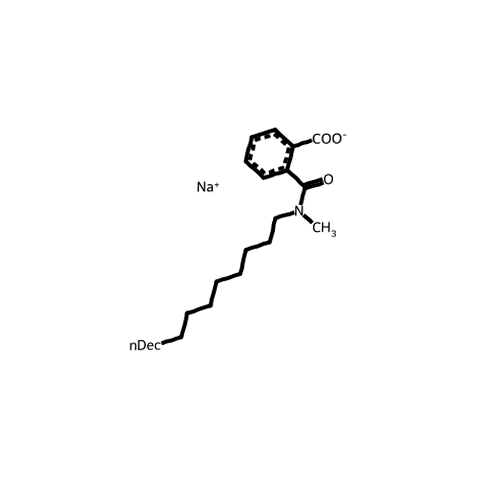 CCCCCCCCCCCCCCCCCCN(C)C(=O)c1ccccc1C(=O)[O-].[Na+]